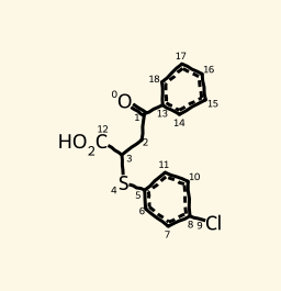 O=C(CC(Sc1ccc(Cl)cc1)C(=O)O)c1ccccc1